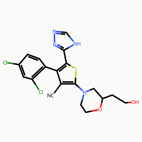 N#Cc1c(N2CCOC(CCO)C2)sc(-c2nnc[nH]2)c1-c1ccc(Cl)cc1Cl